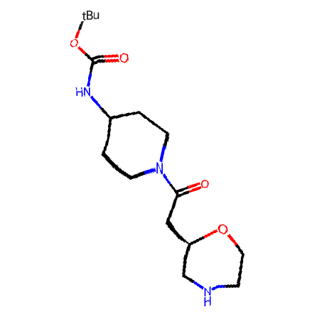 CC(C)(C)OC(=O)NC1CCN(C(=O)C[C@@H]2CNCCO2)CC1